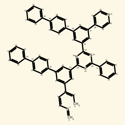 C=N/C=C\C(=C/C)c1cc(-c2ccc(-c3ccccc3)cc2)cc(-c2nc(-c3ccccc3)nc(-c3cc(-c4ccncc4)cc(-c4ccc(-c5ccccc5)cc4)c3)n2)c1